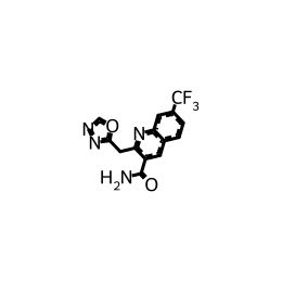 NC(=O)c1cc2ccc(C(F)(F)F)cc2nc1Cc1nnco1